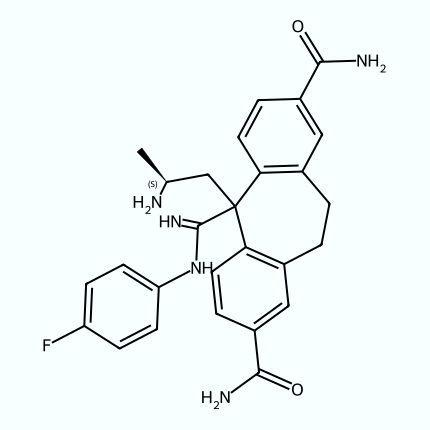 C[C@H](N)CC1(C(=N)Nc2ccc(F)cc2)c2ccc(C(N)=O)cc2CCc2cc(C(N)=O)ccc21